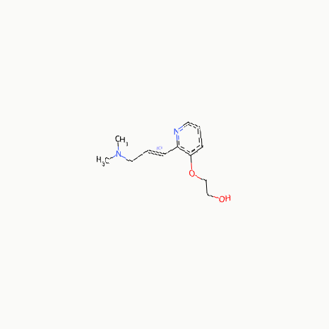 CN(C)C/C=C/c1ncccc1OCCO